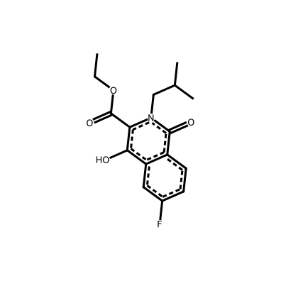 CCOC(=O)c1c(O)c2cc(F)ccc2c(=O)n1CC(C)C